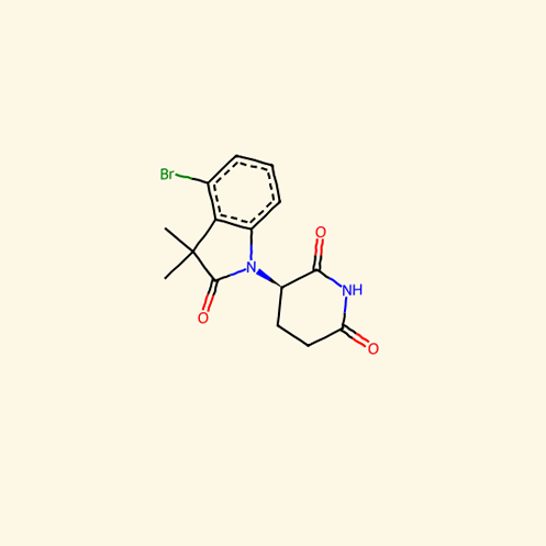 CC1(C)C(=O)N([C@@H]2CCC(=O)NC2=O)c2cccc(Br)c21